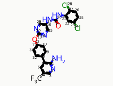 Nc1ncc(C(F)(F)F)cc1-c1ccc(Oc2ncc(NC(=O)Nc3cc(Cl)ccc3Cl)cn2)cc1